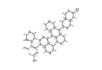 C=C/C(=C(\C=C(/C)CC)c1ccc(-c2c3ccccc3c(-c3ccc4cc(CC)ccc4c3)c3ccccc23)c2ccccc12)c1ccccn1